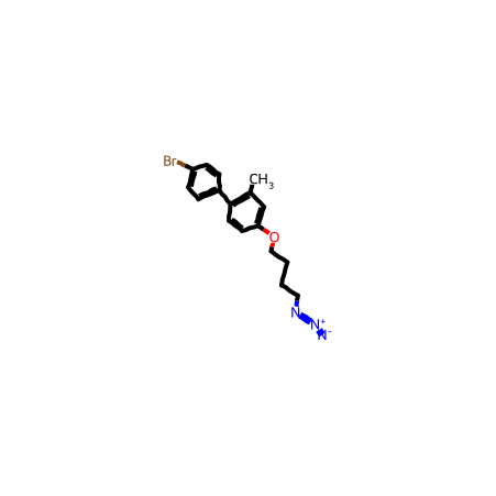 Cc1cc(OCCCCN=[N+]=[N-])ccc1-c1ccc(Br)cc1